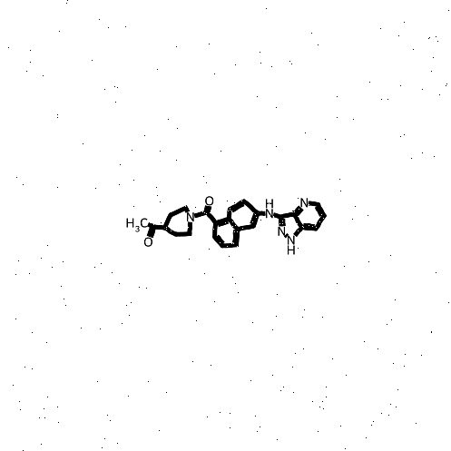 CC(=O)C1CCN(C(=O)c2cccc3cc(Nc4n[nH]c5cccnc45)ccc23)CC1